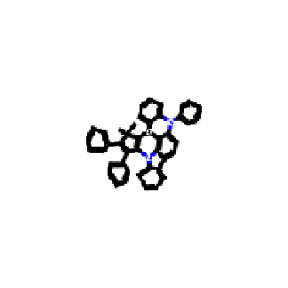 CC1(C)C2=C(C(c3ccccc3)=C1c1ccccc1)n1c3ccccc3c3ccc4c(c31)B2c1ccccc1N4c1ccccc1